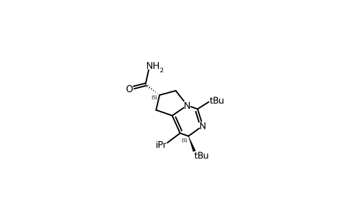 CC(C)C1=C2C[C@H](C(N)=O)CN2C(C(C)(C)C)=N[C@H]1C(C)(C)C